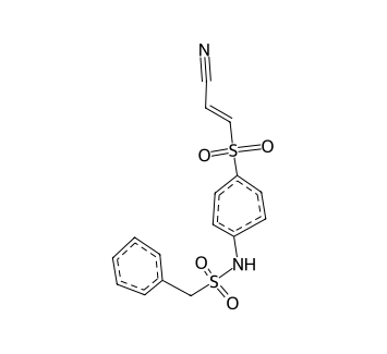 N#CC=CS(=O)(=O)c1ccc(NS(=O)(=O)Cc2ccccc2)cc1